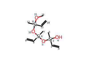 C=C[Si](C)(O)O[Si](C)(C=C)O[Si](C)(C=C)OC